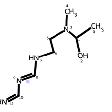 CC(O)N(C)CCN/C=N/C=N